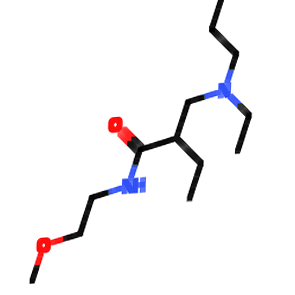 CCCN(CC)CC(CC)C(=O)NCCOC